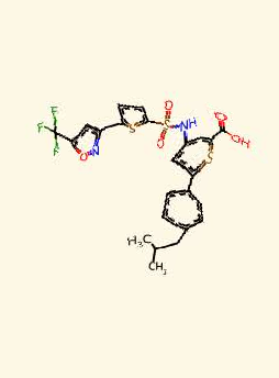 CC(C)Cc1ccc(-c2cc(NS(=O)(=O)c3ccc(-c4cc(C(F)(F)F)on4)s3)c(C(=O)O)s2)cc1